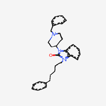 O=c1n(CCCCCc2ccccc2)c2ccccc2n1C1CCN(Cc2ccccc2)CC1